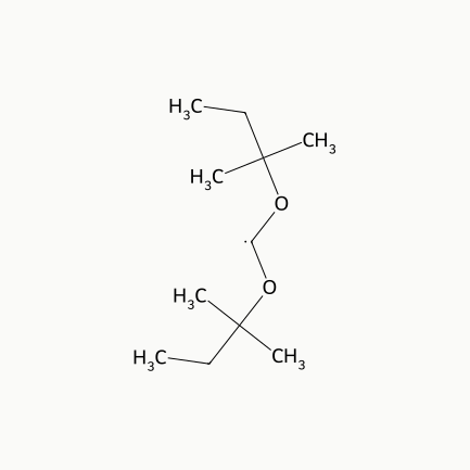 CCC(C)(C)O[CH]OC(C)(C)CC